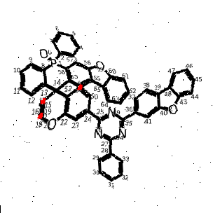 O=P1(c2ccccc2)c2ccccc2C2(c3ccccc3Oc3cc(-c4nc(-c5ccccc5)nc(-c5ccc6c(c5)oc5ccccc56)n4)ccc32)c2cc3c(cc21)oc1ccccc13